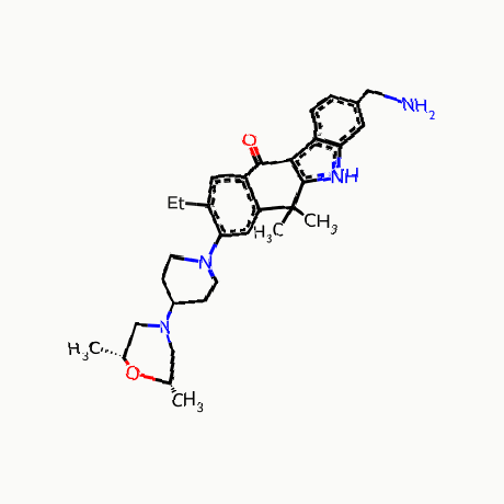 CCc1cc2c(cc1N1CCC(N3C[C@@H](C)O[C@@H](C)C3)CC1)C(C)(C)c1[nH]c3cc(CN)ccc3c1C2=O